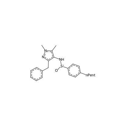 CCCCCc1ccc([S+]([O-])Nc2c(Cc3ccccc3)nn(C)c2C)cc1